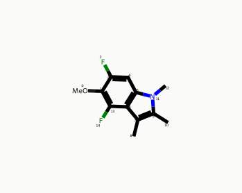 COc1c(F)cc2c(c(C)c(C)n2C)c1F